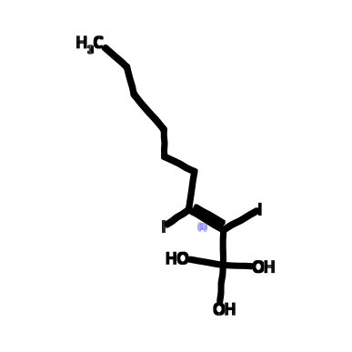 CCCCCC/C(I)=C(\I)C(O)(O)O